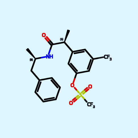 C[C@H](Cc1ccccc1)NC(=O)[C@@H](C)c1cc(OS(=O)(=O)C(F)(F)F)cc(C(F)(F)F)c1